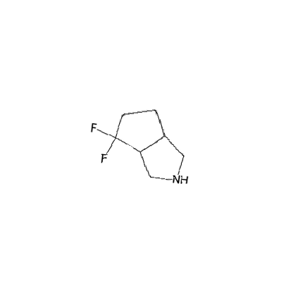 FC1(F)CCC2CNCC21